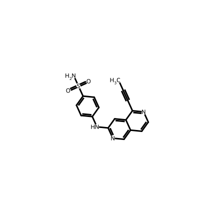 CC#Cc1nccc2cnc(Nc3ccc(S(N)(=O)=O)cc3)cc12